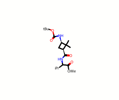 COC(=O)C(NC(=O)[C@H]1C[C@@H](NC(=O)OC(C)(C)C)C1(C)C)C(C)C